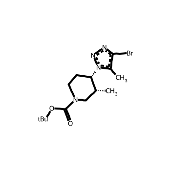 Cc1c(Br)nnn1[C@H]1CCN(C(=O)OC(C)(C)C)C[C@H]1C